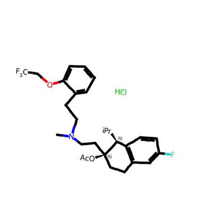 CC(=O)O[C@]1(CCN(C)CCc2ccccc2OCC(F)(F)F)CCc2cc(F)ccc2[C@@H]1C(C)C.Cl